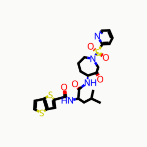 CC(C)CC(NC(=O)c1cc2sccc2s1)C(=O)N[C@H]1CCCN(S(=O)(=O)c2ccccn2)CC1=O